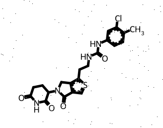 Cc1ccc(NC(=O)NCCc2scc3c2CN(C2CCC(=O)NC2=O)C3=O)cc1Cl